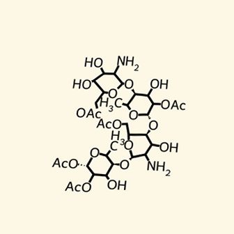 CC(=O)OCC1O[C@H](O[C@@H]2C(C)O[C@@H](O[C@@H]3C(COC(C)=O)O[C@H](O[C@@H]4C(C)O[C@@H](OC(C)=O)C(OC(C)=O)C4O)C(N)C3O)C(OC(C)=O)C2O)C(N)C(O)[C@@H]1O